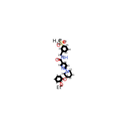 CCOc1ccccc1O[C@@H]1CCCN(c2ccc(C(=O)NCc3cccc(S(C)(=O)=O)c3)cn2)C1